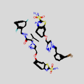 CC(C)[C@@H](C(=O)NCc1cc(F)ccc1F)n1cc(COc2ccc3nc(S(N)(=O)=O)sc3c2)nn1.NS(=O)(=O)c1nc2ccc(OCc3cn(Cc4cccc(Br)c4)nn3)cc2s1